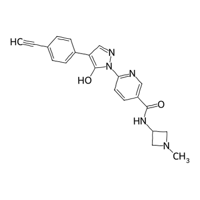 C#Cc1ccc(-c2cnn(-c3ccc(C(=O)NC4CN(C)C4)cn3)c2O)cc1